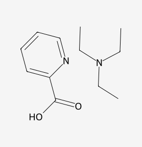 CCN(CC)CC.O=C(O)c1ccccn1